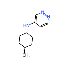 C[C@H]1CC[C@H](Nc2ccnnc2)CC1